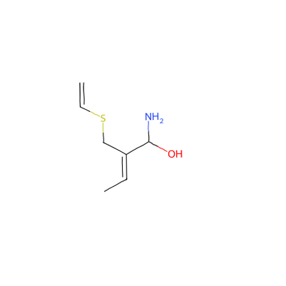 C=CSC/C(=C\C)C(N)O